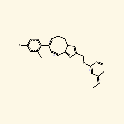 C=N/C(=C\C(F)=C/C)OCC1=CC2CC/C=C(c3ccc(F)cc3C)\C=N/C2=N1